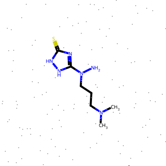 CN(C)CCCN(N)c1nc(=S)[nH][nH]1